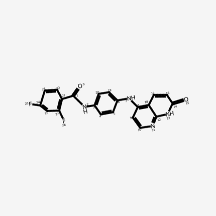 O=C(Nc1ccc(Nc2ccnc3[nH]c(=O)ccc23)cc1)c1ccc(F)cc1F